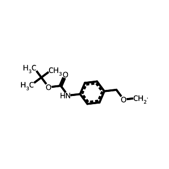 [CH2]OCc1ccc(NC(=O)OC(C)(C)C)cc1